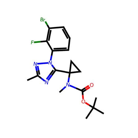 Cc1nc(C2(N(C)C(=O)OC(C)(C)C)CC2)n(-c2cccc(Br)c2F)n1